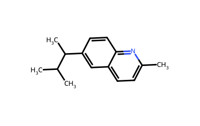 Cc1ccc2cc(C(C)C(C)C)ccc2n1